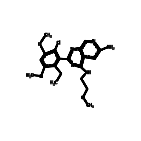 CCc1c(OC)cc(OC)c(Cl)c1-c1nc(NCCOC)c2cc(N)ncc2n1